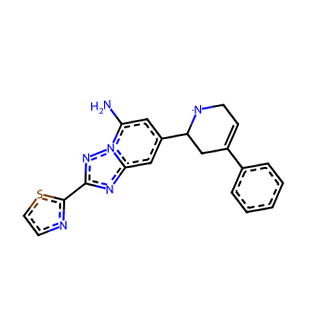 Nc1cc(C2CC(c3ccccc3)=CC[N]2)cc2nc(-c3nccs3)nn12